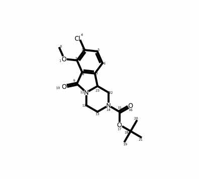 COc1c(Cl)ccc2c1C(=O)N1CCN(C(=O)OC(C)(C)C)CC21